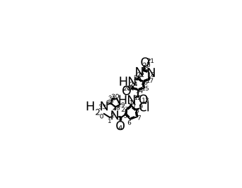 CCN(C(=O)c1ccc(Cl)c(NC(=O)c2cc3cnc(OC)nc3[nH]c2=O)c1)C1CCCC1N